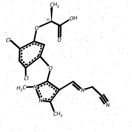 Cc1nn(C)c(Oc2cc(O[C@@H](C)C(=O)O)c(Cl)cc2Cl)c1C=NCC#N